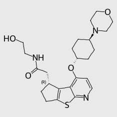 O=C(C[C@H]1CCc2sc3nccc(O[C@H]4CC[C@H](N5CCOCC5)CC4)c3c21)NCCO